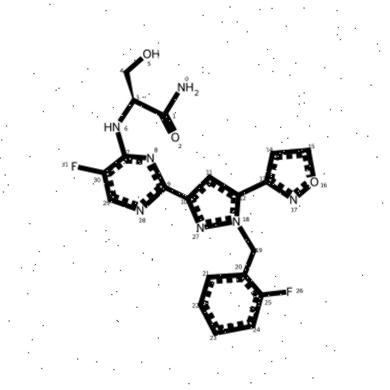 NC(=O)[C@H](CO)Nc1nc(-c2cc(-c3ccon3)n(Cc3ccccc3F)n2)ncc1F